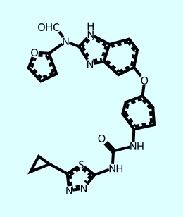 O=CN(c1nc2cc(Oc3ccc(NC(=O)Nc4nnc(C5CC5)s4)cc3)ccc2[nH]1)c1ccco1